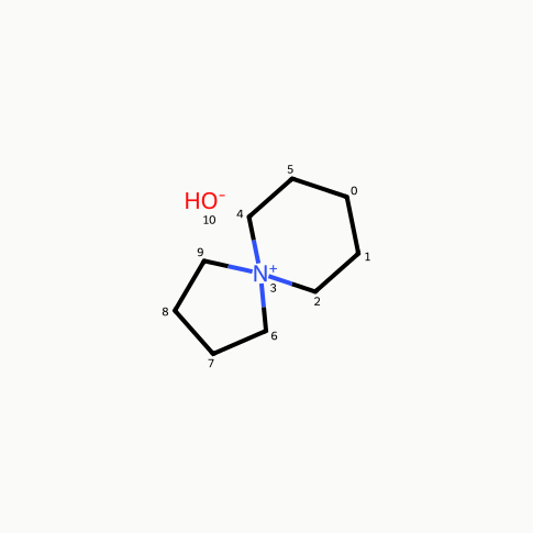 C1CC[N+]2(CC1)CCCC2.[OH-]